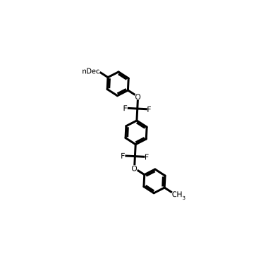 CCCCCCCCCCc1ccc(OC(F)(F)c2ccc(C(F)(F)Oc3ccc(C)cc3)cc2)cc1